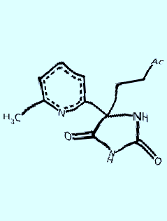 CC(=O)CCC1(c2cccc(C)n2)NC(=O)NC1=O